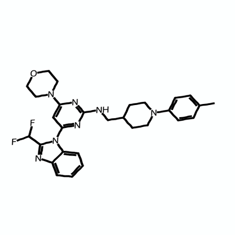 Cc1ccc(N2CCC(CNc3nc(N4CCOCC4)cc(-n4c(C(F)F)nc5ccccc54)n3)CC2)cc1